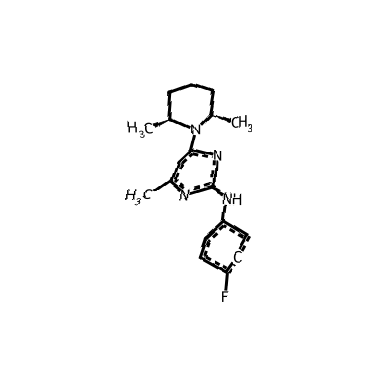 Cc1cc(N2[C@H](C)CCC[C@@H]2C)nc(Nc2ccc(F)cc2)n1